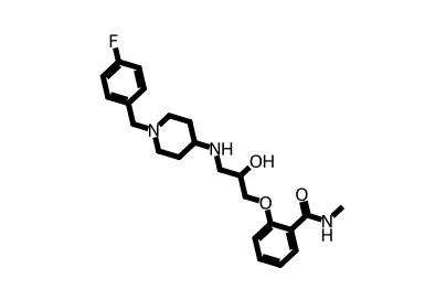 CNC(=O)c1ccccc1OCC(O)CNC1CCN(Cc2ccc(F)cc2)CC1